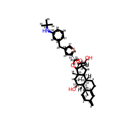 C=C1C=C[C@@]2(C)C(=C1)CC[C@@H]1[C@@H]2[C@@H](O)C[C@@]2(C)[C@H]1C[C@H]1O[C@@H](c3cc(Cc4cccc(NC(C)(C)C)c4)cs3)O[C@]12C(=O)CO